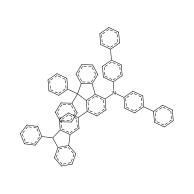 c1ccc(-c2ccc(N(c3ccc(-c4ccccc4)cc3)c3ccc(-c4ccc5c(c4)-c4ccccc4C5c4ccccc4)c4c3-c3ccccc3C4(c3ccccc3)c3ccccc3)cc2)cc1